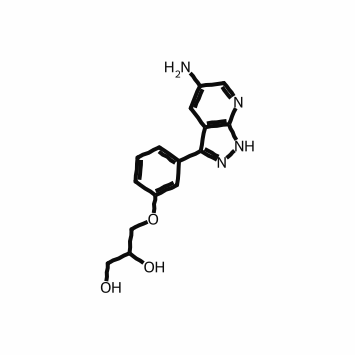 Nc1cnc2[nH]nc(-c3cccc(OCC(O)CO)c3)c2c1